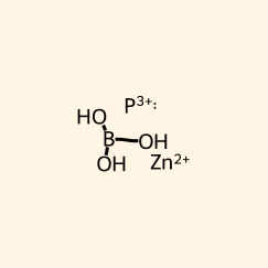 OB(O)O.[P+3].[Zn+2]